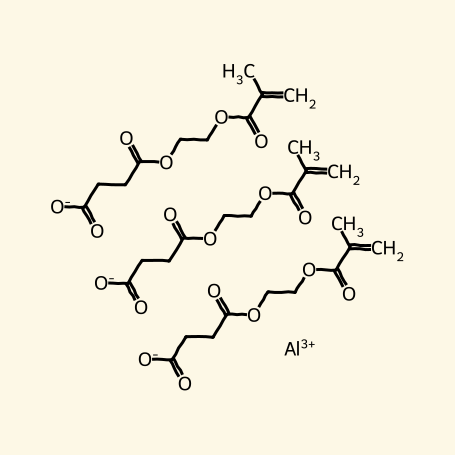 C=C(C)C(=O)OCCOC(=O)CCC(=O)[O-].C=C(C)C(=O)OCCOC(=O)CCC(=O)[O-].C=C(C)C(=O)OCCOC(=O)CCC(=O)[O-].[Al+3]